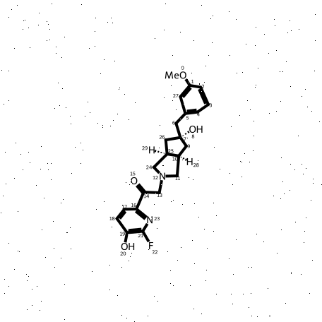 COc1cccc(C[C@@]2(O)C[C@H]3CN(CC(=O)c4ccc(O)c(F)n4)C[C@H]3C2)c1